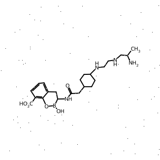 CC(N)CNCCNC1CCC(CC(=O)NC2Cc3cccc(C(=O)O)c3OB2O)CC1